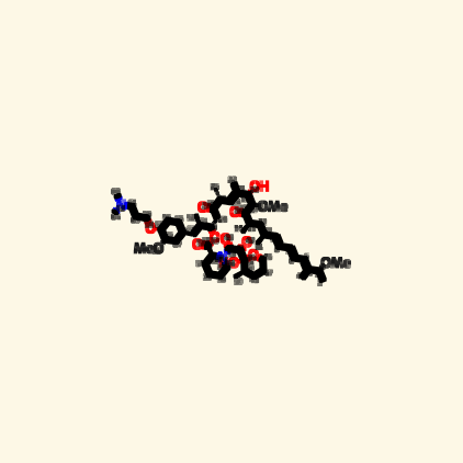 CO[C@@H](C)/C(C)=C/C=C/C=C/[C@@H](C)C[C@@H](C)C(=O)[C@H](OC)[C@H](O)/C(C)=C/[C@@H](C)C(=O)C[C@H](OC(=O)[C@@H]1CCCCN1C(=O)C(=O)[C@]1(O)OCCC[C@H]1C)[C@H](C)C[C@@H]1CC[C@@H](OCCCN(C)C)[C@H](OC)C1